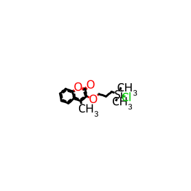 Cc1c(OCCC[Si](C)(C)Cl)c(=O)oc2ccccc12